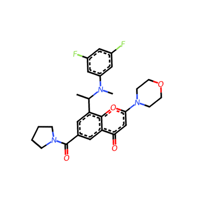 CC(c1cc(C(=O)N2CCCC2)cc2c(=O)cc(N3CCOCC3)oc12)N(C)c1cc(F)cc(F)c1